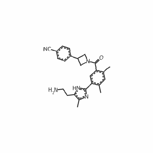 Cc1cc(C)c(-c2nc(C)c(CCN)[nH]2)cc1C(=O)N1CC(c2ccc(C#N)cc2)C1